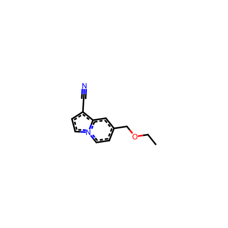 CCOCc1ccn2ccc(C#N)c2c1